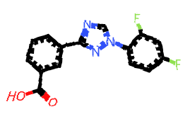 O=C(O)c1cccc(-c2ncn(-c3ccc(F)cc3F)n2)c1